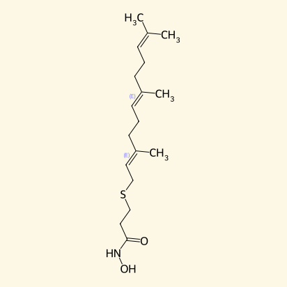 CC(C)=CCC/C(C)=C/CC/C(C)=C/CSCCC(=O)NO